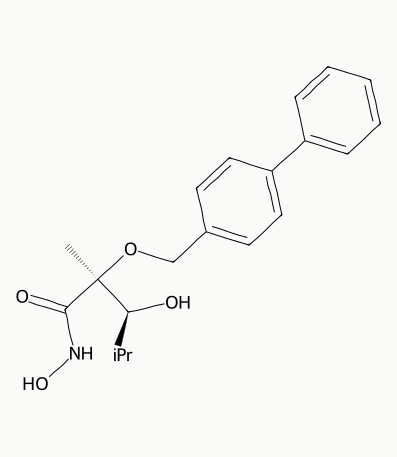 CC(C)[C@H](O)[C@](C)(OCc1ccc(-c2ccccc2)cc1)C(=O)NO